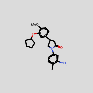 COc1ccc(C2CC(=O)N(c3ccc(C)c(N)c3)C2)cc1OC1CCCC1